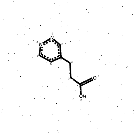 O=C(O)CCc1ccnnc1